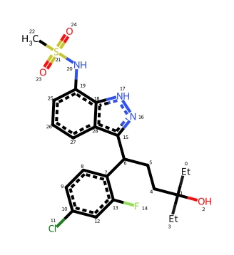 CCC(O)(CC)CCC(c1ccc(Cl)cc1F)c1n[nH]c2c(NS(C)(=O)=O)cccc12